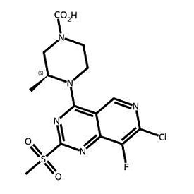 C[C@H]1CN(C(=O)O)CCN1c1nc(S(C)(=O)=O)nc2c(F)c(Cl)ncc12